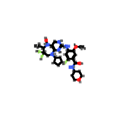 COc1cc(C(=O)NC2CCOCC2)c(F)cc1Nc1ncc2c(n1)N(C1CCCC1)CC(F)(F)C(C)[N+]2=O